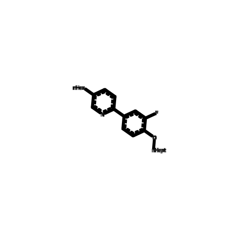 CCCCCCCOc1ccc(-c2ccc(CCCCCC)cn2)cc1F